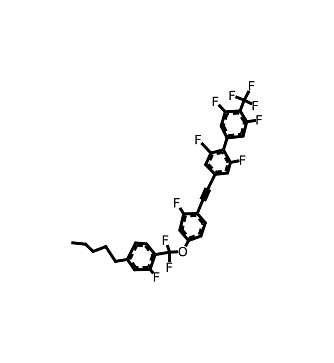 CCCCCc1ccc(C(F)(F)Oc2ccc(C#Cc3cc(F)c(-c4cc(F)c(C(F)(F)F)c(F)c4)c(F)c3)c(F)c2)c(F)c1